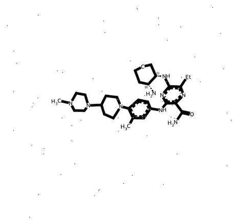 CCc1nc(C(N)=O)c(Nc2ccc(N3CCC(N4CCN(C)CC4)CC3)c(C)c2)nc1N[C@H]1CCCC[C@H]1N